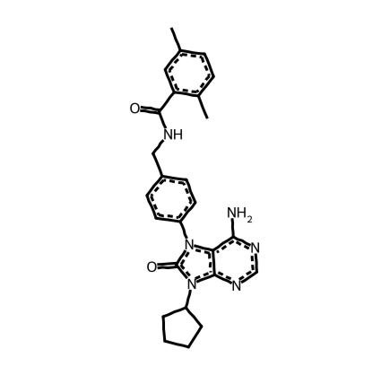 Cc1ccc(C)c(C(=O)NCc2ccc(-n3c(=O)n(C4CCCC4)c4ncnc(N)c43)cc2)c1